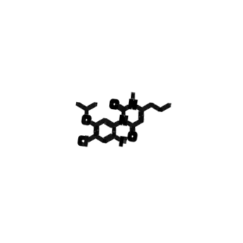 CCCc1cc(=O)n(-c2cc(OC(C)C)c(Cl)cc2F)c(=O)n1C